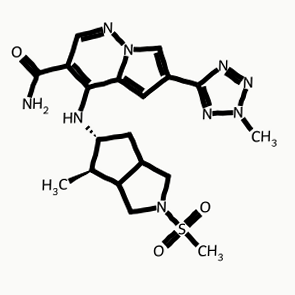 C[C@@H]1C2CN(S(C)(=O)=O)CC2C[C@H]1Nc1c(C(N)=O)cnn2cc(-c3nnn(C)n3)cc12